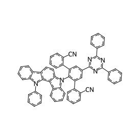 N#Cc1ccccc1-c1cc(-c2nc(-c3ccccc3)nc(-c3ccccc3)n2)cc(-c2ccccc2C#N)c1-n1c2ccccc2c2c1ccc1c3ccccc3n(-c3ccccc3)c12